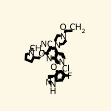 C=CC(=O)N1CCN(c2c(C#N)c(OCC3CCCN3C)nc3c(Oc4c(Cl)c(F)cc5[nH]ncc45)nccc23)CC1